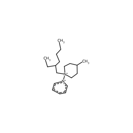 CCCCC(CC)C[N+]1([n+]2ccccc2)CCC(C)CC1